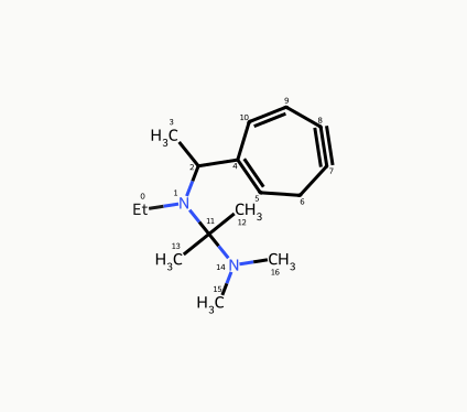 CCN(C(C)C1=CCC#CC=C1)C(C)(C)N(C)C